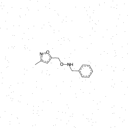 Cc1cc(CONCc2ccccc2)on1